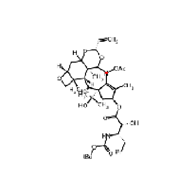 C=C[C@H]1O[C@H]2C[C@H]3OC[C@@]3(C)[C@H]3[C@H](O)[C@]4(C(C)(C)O)C[C@H](OC(=O)[C@H](O)[C@H](CC(C)C)NC(=O)OC(C)(C)C)C(C)=C4[C@H](OC(C)=O)[C@H](O1)[C@]23C